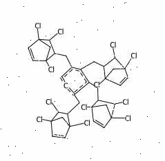 ClC1C(Cc2ccc(CC3C(Cl)C4(Cl)C=CC3(Cl)C4)c(CC3C(Cl)C4(Cl)C=CC3(Cl)C4)c2CC2C(Cl)C3(Cl)C=CC2(Cl)C3)C2(Cl)C=CC1(Cl)C2